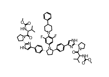 COC(=O)NC(C(=O)N1CCC[C@H]1c1nc(-c2ccc([C@H]3CC[C@H](c4ccc(-c5c[nH]c([C@@H]6CCCN6C(=O)[C@@H](NC(=O)OC)C(C)C)n5)cc4)N3c3cc(F)c(N4CCC(c5ccccc5)CC4)c(F)c3)cc2)c[nH]1)C(C)C